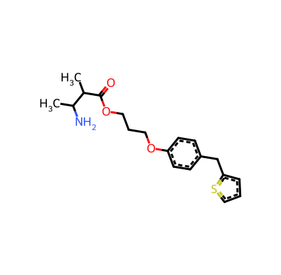 CC(N)C(C)C(=O)OCCCOc1ccc(Cc2cccs2)cc1